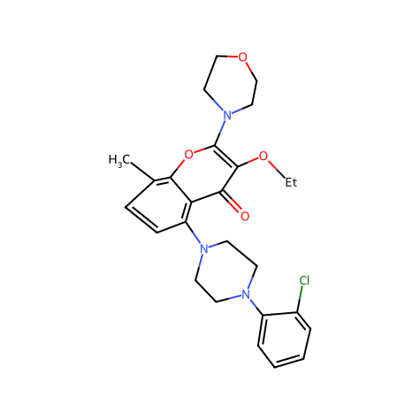 CCOc1c(N2CCOCC2)oc2c(C)ccc(N3CCN(c4ccccc4Cl)CC3)c2c1=O